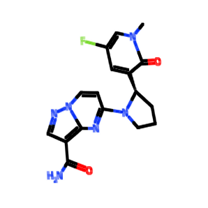 Cn1cc(F)cc([C@H]2CCCN2c2ccn3ncc(C(N)=O)c3n2)c1=O